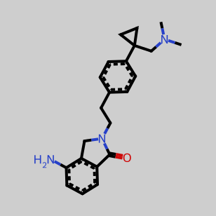 CN(C)CC1(c2ccc(CCN3Cc4c(N)cccc4C3=O)cc2)CC1